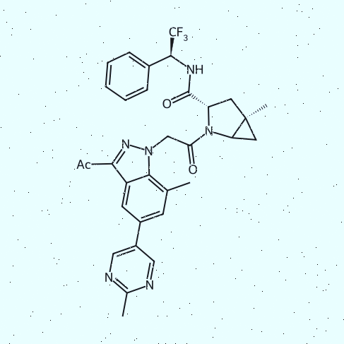 CC(=O)c1nn(CC(=O)N2C3C[C@]3(C)C[C@H]2C(=O)N[C@@H](c2ccccc2)C(F)(F)F)c2c(C)cc(-c3cnc(C)nc3)cc12